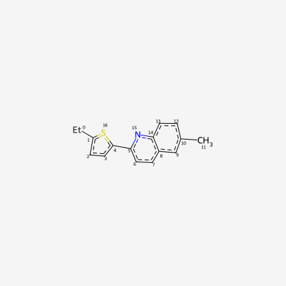 CCc1ccc(-c2ccc3cc(C)ccc3n2)s1